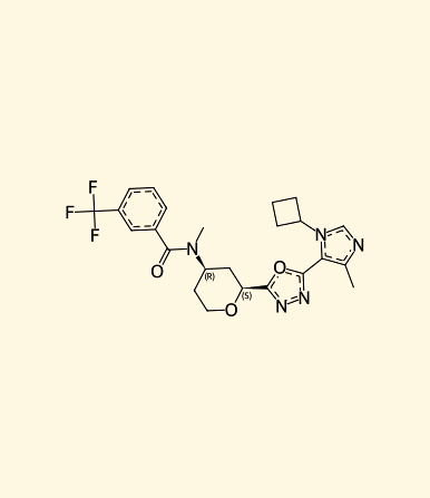 Cc1ncn(C2CCC2)c1-c1nnc([C@@H]2C[C@H](N(C)C(=O)c3cccc(C(F)(F)F)c3)CCO2)o1